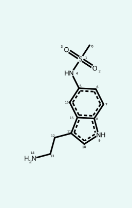 CS(=O)(=O)Nc1ccc2[nH]cc(CCN)c2c1